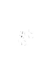 Clc1ccccc1-n1nnnc1-c1ccccc1I